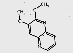 COc1cc2ncccc2nc1OC